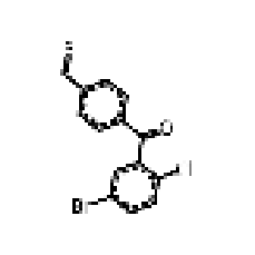 O=C(c1ccc(C=S)cc1)c1cc(Br)ccc1Cl